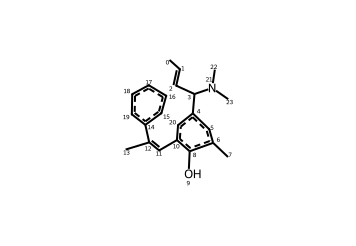 CC=CC(c1cc(C)c(O)c(C=C(C)c2ccccc2)c1)N(C)C